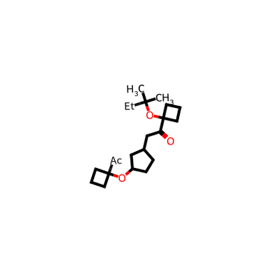 CCC(C)(C)OC1(C(=O)CC2CCC(OC3(C(C)=O)CCC3)C2)CCC1